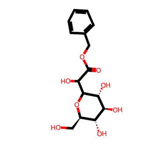 O=C(OCc1ccccc1)C(O)C1O[C@H](CO)[C@@H](O)[C@H](O)[C@H]1O